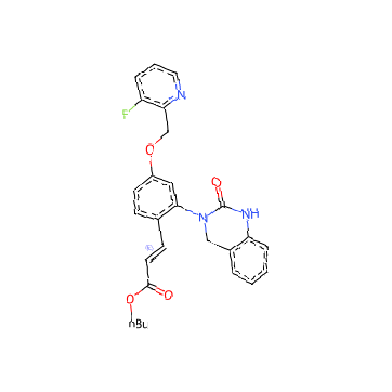 CCCCOC(=O)/C=C/c1ccc(OCc2ncccc2F)cc1N1Cc2ccccc2NC1=O